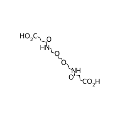 O=C(O)CCC(=O)NCCOCCOCCNC(=O)CCC(=O)O